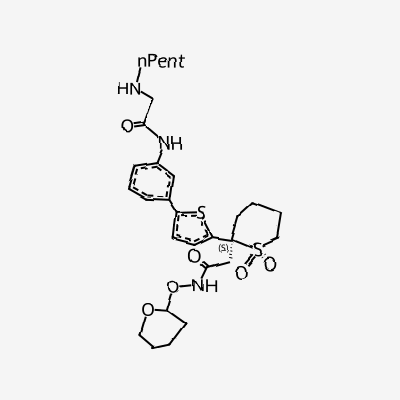 CCCCCNCC(=O)Nc1cccc(-c2ccc([C@@]3(CC(=O)NOC4CCCCO4)CCCCS3(=O)=O)s2)c1